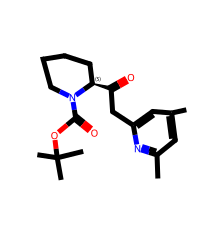 Cc1cc(C)nc(CC(=O)[C@@H]2CCCCN2C(=O)OC(C)(C)C)c1